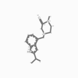 CC(C)c1cc2c(CN3CCN(C)C(=O)C3)cccc2[nH]1